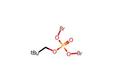 CC(C)(C)COP(=O)(OBr)OBr